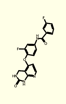 O=C1NCc2c(Oc3ccc(NC(=O)c4cccc(F)c4)cc3F)ccnc2N1